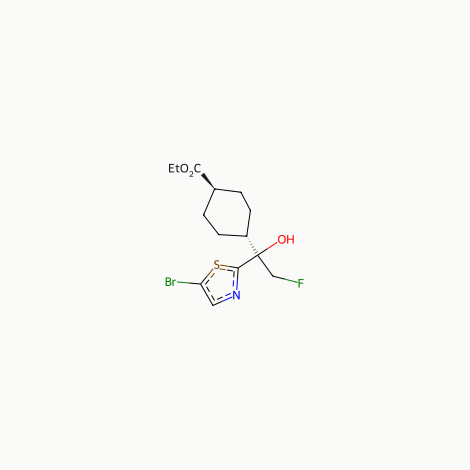 CCOC(=O)[C@H]1CC[C@H](C(O)(CF)c2ncc(Br)s2)CC1